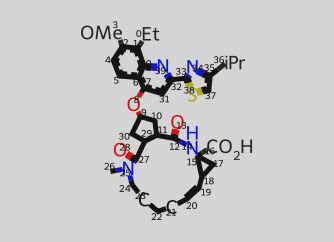 CCc1c(OC)ccc2c(OC3CC4C(=O)NC5(C(=O)O)CC5C=CCCCCN(C)C(=O)C4C3)cc(-c3nc(C(C)C)cs3)nc12